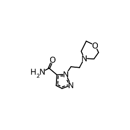 NC(=O)c1ccnn1CCN1CCOCC1